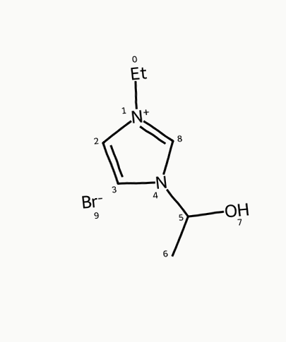 CC[n+]1ccn(C(C)O)c1.[Br-]